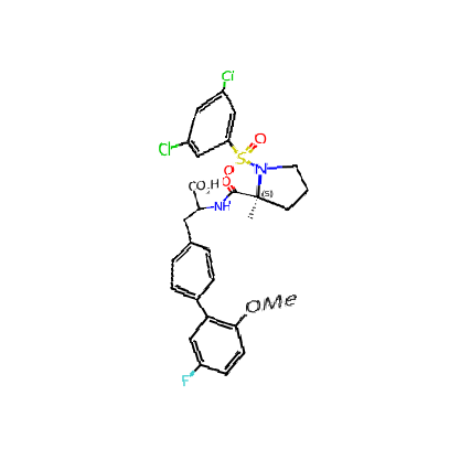 COc1ccc(F)cc1-c1ccc(CC(NC(=O)[C@]2(C)CCCN2S(=O)(=O)c2cc(Cl)cc(Cl)c2)C(=O)O)cc1